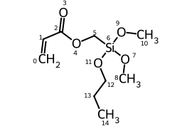 C=CC(=O)OC[Si](OC)(OC)OCCC